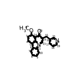 COc1ccc2c3ccccc3n3cc(Cc4cccnc4)c(=O)c1c23